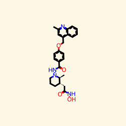 Cc1cc(COc2ccc(C(=O)NN3CCC[C@@H](CC(=O)NO)[C@@H]3C)cc2)c2ccccc2n1